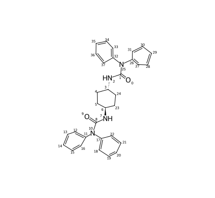 O=C(N[C@H]1CC[C@H](NC(=O)N(c2ccccc2)c2ccccc2)CC1)N(c1ccccc1)c1ccccc1